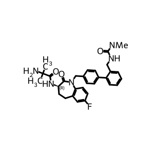 CNC(=O)NCc1ccccc1-c1ccc(CN2C(=O)[C@H](NC(=O)C(C)(C)N)CCc3cc(F)ccc32)cc1